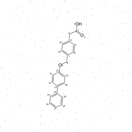 O=C(O)Cc1ccc(COc2ccc(-c3ccccc3)cc2)cc1